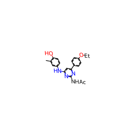 CCOc1ccc(-c2cc(Nc3ccc(O)c(C)c3)nc(NC(C)=O)n2)cc1